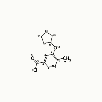 Cc1ccc(C(=O)Cl)cc1OC1CCCC1